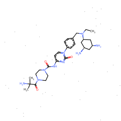 CCN(Cc1ccc(-n2ccc(NC(=O)N3CCN(C(=O)C(C)(C)N)CC3)nc2=O)cc1)[C@@H]1C[C@H](N)C[C@H](N)C1